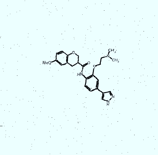 COc1ccc2c(c1)CC(C(=O)Nc1ccc(-c3cn[nH]c3)cc1SCCN(C)C)CO2